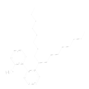 CCCCCCCCC(CCCCCCCC)c1ccccc1-c1ccccc1O